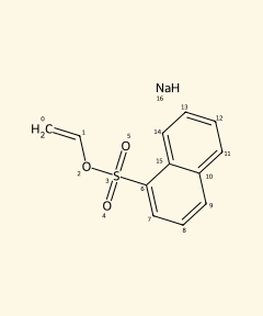 C=COS(=O)(=O)c1cccc2ccccc12.[NaH]